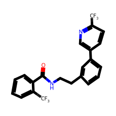 O=C(NCCc1cccc(-c2ccc(C(F)(F)F)nc2)c1)c1ccccc1C(F)(F)F